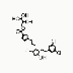 O=C(OCC(O)C(O)O)c1ccc(CCC[C@@H]2[C@@H](CCc3cc(Cl)cc(Cl)c3)[C@H](O)C[C@H]2Cl)s1